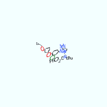 CC(C)(C)N(CCn1ccc2ncnc(Nc3ccc(Oc4cccc(OCC5CC5)c4)c(Cl)c3)c21)C(=O)O